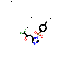 Cc1ccc(S(=O)(=O)n2cncc2CC(=O)C(F)F)cc1